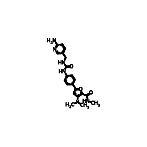 CNC(=O)c1oc(-c2ccc(NC(=O)NCc3ccc(N)nc3)cc2)cc1N(C)C